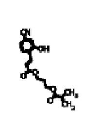 C=C(C)C(=O)OCCCOC(=O)C=Cc1ccc(C#N)cc1O